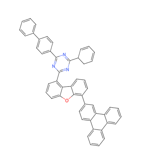 C1=CCC(c2nc(-c3ccc(-c4ccccc4)cc3)nc(-c3cccc4oc5c(-c6ccc7c8ccccc8c8ccccc8c7c6)cccc5c34)n2)C=C1